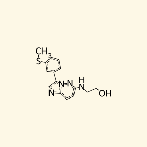 CSc1cccc(-c2cnc3ccc(NCCO)nn23)c1